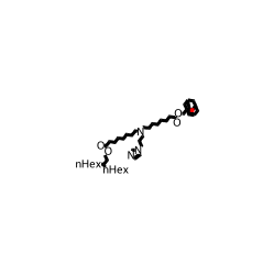 CCCCCCC(CCCCCC)CCOC(=O)CCCCCCCN(CCCCCCCC(=O)OCC12CC3CC(CC(C3)C1)C2)CCCn1ccnc1